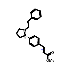 COC(=O)/C=C/c1ccc([C@@H]2CCCN2CCc2ccccc2)cc1